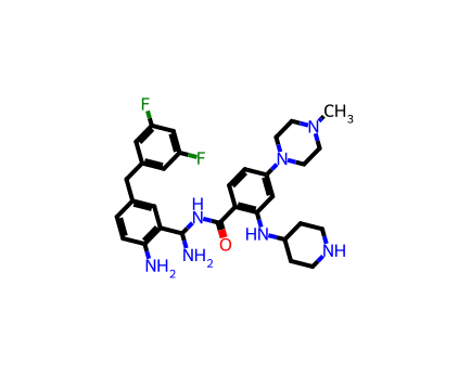 CN1CCN(c2ccc(C(=O)NC(N)c3cc(Cc4cc(F)cc(F)c4)ccc3N)c(NC3CCNCC3)c2)CC1